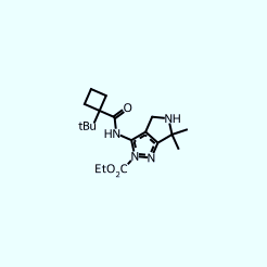 CCOC(=O)n1nc2c(c1NC(=O)C1(C(C)(C)C)CCC1)CNC2(C)C